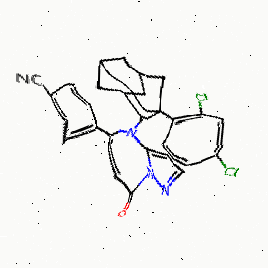 N#Cc1ccc(-c2cc(=O)n3nccc3n2C2C3CC4CC(C3)CC2(c2ccc(Cl)cc2Cl)C4)cc1